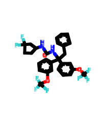 O=C(NC1CCC(F)(F)C1)NC(Cc1ccccc1)(c1cccc(OC(F)(F)F)c1)c1cccc(OC(F)(F)F)c1